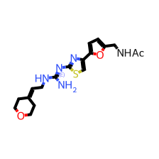 CC(=O)NCc1ccc(-c2csc(/N=C(\N)NCC=C3CCOCC3)n2)o1